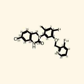 Cc1cc(I)c(OCc2ncccc2F)cc1N1Cc2ccc(Cl)cc2NC1=O